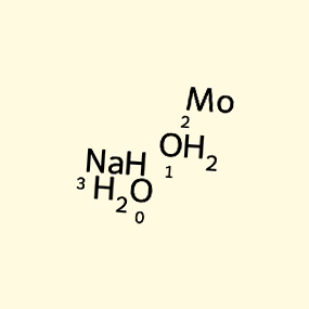 O.O.[Mo].[NaH]